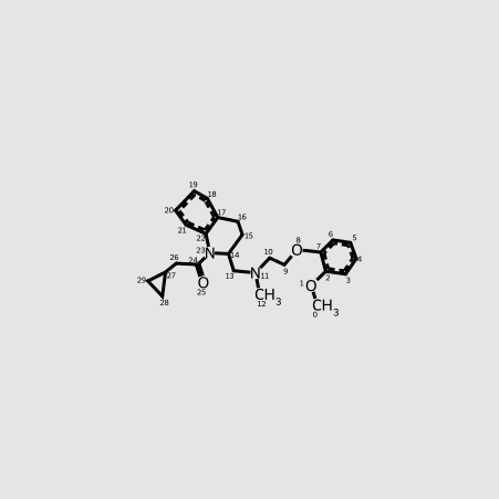 COc1ccccc1OCCN(C)CC1CCc2ccccc2N1C(=O)CC1CC1